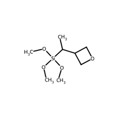 CO[Si](OC)(OC)C(C)C1COC1